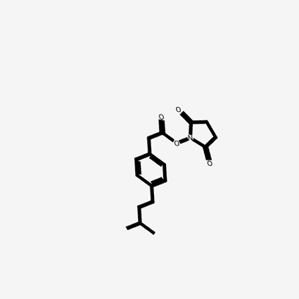 CC(C)CCc1ccc(CC(=O)ON2C(=O)CCC2=O)cc1